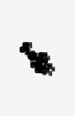 CC(C)C1=C2C(=O)N(C)C(c3cc[n+](CCC(=O)O)cc3)=C2C(=O)N1C